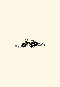 COc1ccc2c(O)c(-c3cc4c(=O)oc5cc(OC)ccc5c4o3)c(=O)oc2c1